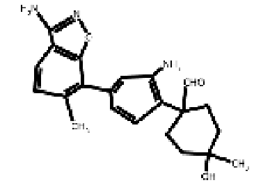 Cc1ccc2c(N)noc2c1-c1ccc(C2(C=O)CCC(C)(O)CC2)c(N)c1